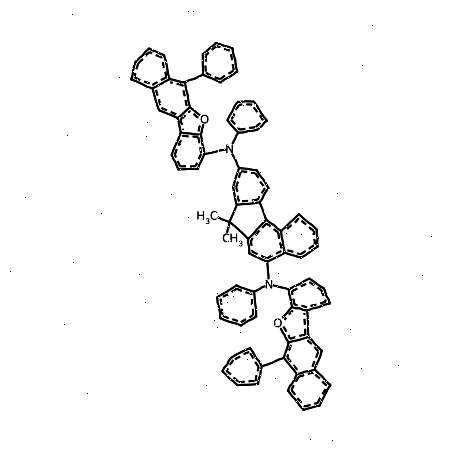 CC1(C)c2cc(N(c3ccccc3)c3cccc4c3oc3c(-c5ccccc5)c5ccccc5cc34)ccc2-c2c1cc(N(c1ccccc1)c1cccc3c1oc1c(-c4ccccc4)c4ccccc4cc13)c1ccccc21